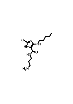 CCCCCNc1nc(Cl)[nH]c1C(=O)NCCCN